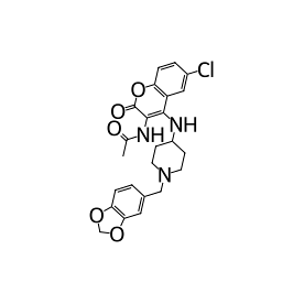 CC(=O)Nc1c(NC2CCN(Cc3ccc4c(c3)OCO4)CC2)c2cc(Cl)ccc2oc1=O